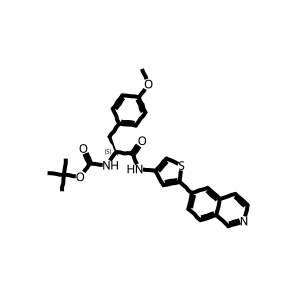 COc1ccc(C[C@H](NC(=O)OC(C)(C)C)C(=O)Nc2csc(-c3ccc4cnccc4c3)c2)cc1